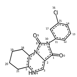 O=c1c2c[nH]c3c(n-2c(=O)n1-c1cccc(Cl)c1)CCCC3